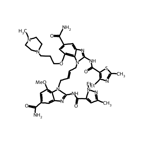 CCc1nc(C)sc1C(=O)Nc1nc2cc(C(N)=O)cc(OCCCN3CCN(C)CC3)c2n1CC=CCn1c(NC(=O)c2cc(C)nn2CC)nc2cc(C(N)=O)cc(OC)c21